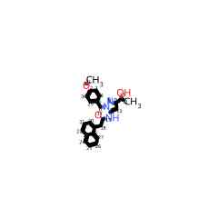 COc1ccc(Cn2nc(C(C)O)cc2NC(=O)Cc2cccc3ccccc23)cc1